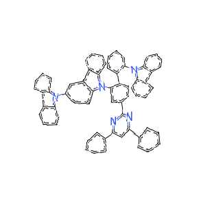 c1ccc(-c2cc(-c3ccccc3)nc(-c3ccc(-c4ccccc4-n4c5ccccc5c5ccccc54)c(-n4c5ccccc5c5cc(-n6c7ccccc7c7ccccc76)ccc54)c3)n2)cc1